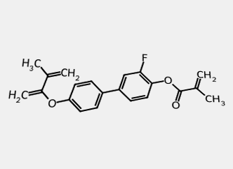 C=C(C)C(=C)Oc1ccc(-c2ccc(OC(=O)C(=C)C)c(F)c2)cc1